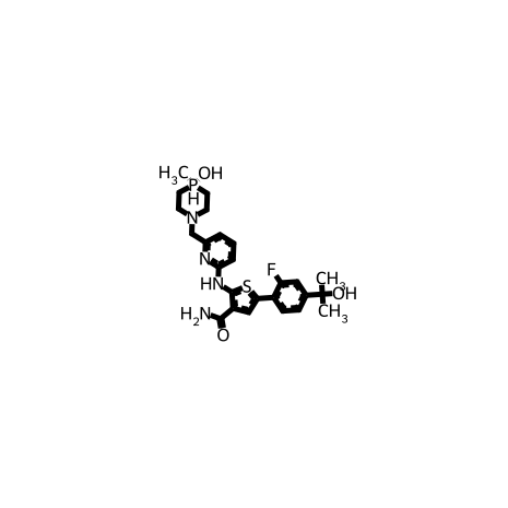 CC(C)(O)c1ccc(-c2cc(C(N)=O)c(Nc3cccc(CN4CC[PH](C)(O)CC4)n3)s2)c(F)c1